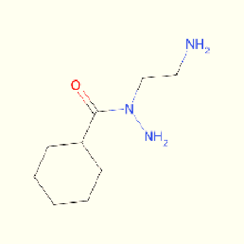 NCCN(N)C(=O)C1CCCCC1